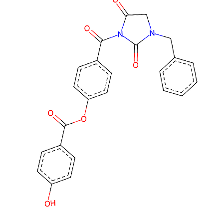 O=C(Oc1ccc(C(=O)N2C(=O)CN(Cc3ccccc3)C2=O)cc1)c1ccc(O)cc1